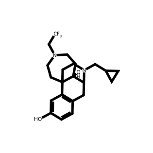 Oc1ccc2c(c1)C13CCN(CC(F)(F)F)CCC1(O)C(C2)N(CC1CC1)CC3